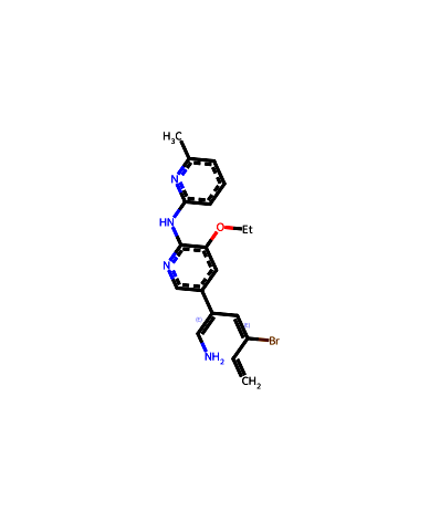 C=C/C(Br)=C\C(=C/N)c1cnc(Nc2cccc(C)n2)c(OCC)c1